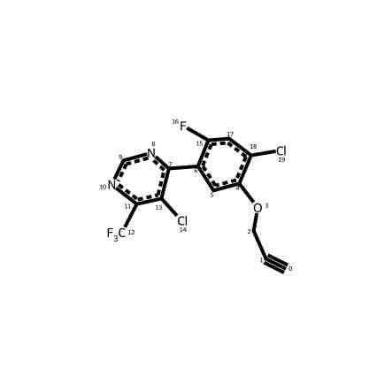 C#CCOc1cc(-c2ncnc(C(F)(F)F)c2Cl)c(F)cc1Cl